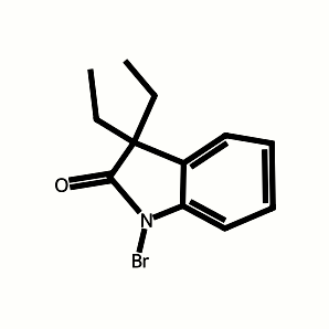 CCC1(CC)C(=O)N(Br)c2ccccc21